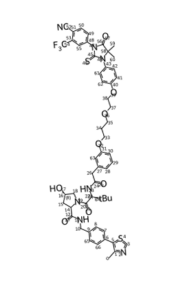 Cc1ncsc1-c1ccc(CNC(=O)C2C[C@@H](O)CN2C(=O)[C@@H](NC(=O)Cc2cccc(OCCCOCCOc3ccc(N4C(=S)N(c5ccc(C#N)c(C(F)(F)F)c5)C(=O)C4(C)C)cc3)c2)C(C)(C)C)cc1